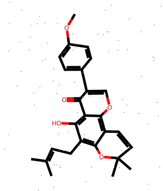 COc1ccc(-c2coc3c4c(c(CC=C(C)C)c(O)c3c2=O)OC(C)(C)C=C4)cc1